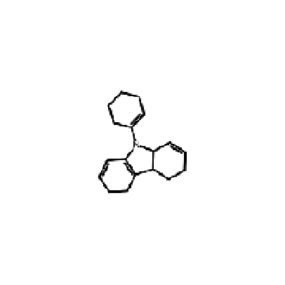 C1=CC2=C(CC1)C1CCC=CC1N2C1=CCCCC1